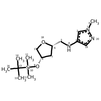 Cn1cc(NC[C@@H]2C[C@H](O[Si](C)(C)C(C)(C)C)CO2)cn1